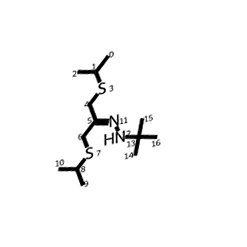 CC(C)SCC(CSC(C)C)=NNC(C)(C)C